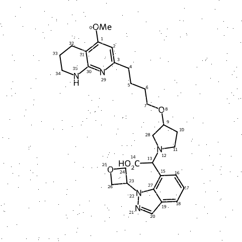 COc1cc(CCCCOC2CCN(C(C(=O)O)c3cccc4cnn(C5COC5)c34)C2)nc2c1CCCN2